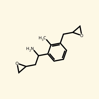 Cc1c(CC2CO2)cccc1C(N)CC1CO1